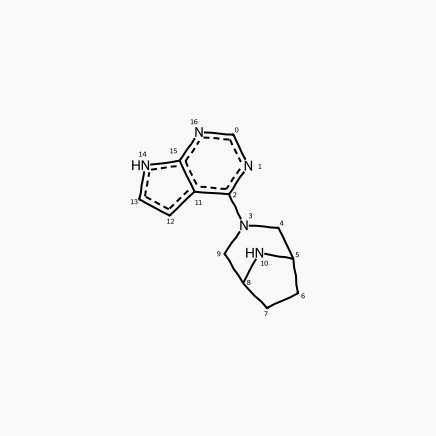 c1nc(N2CC3CCC(C2)N3)c2cc[nH]c2n1